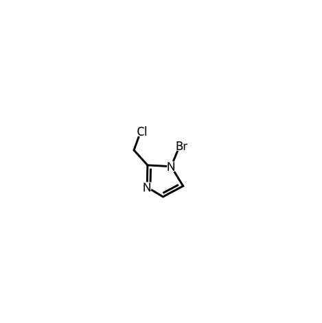 ClCc1nccn1Br